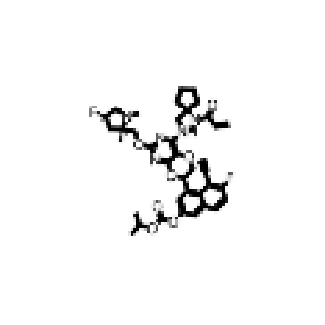 C#Cc1c(F)ccc2cc(OC(=O)OC(C)C)cc(C3COc4c(NCC5(N(C)C(=O)C=C)CCCC5)nc(OC[C@]5(C)C[C@@H](F)CN5C)nc4O3)c12